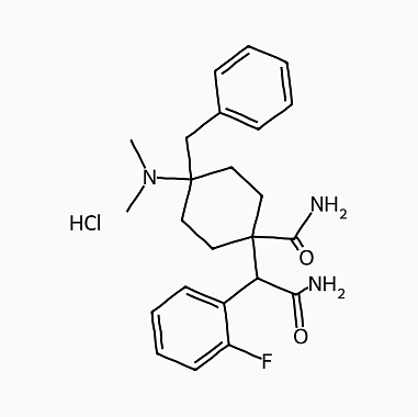 CN(C)C1(Cc2ccccc2)CCC(C(N)=O)(C(C(N)=O)c2ccccc2F)CC1.Cl